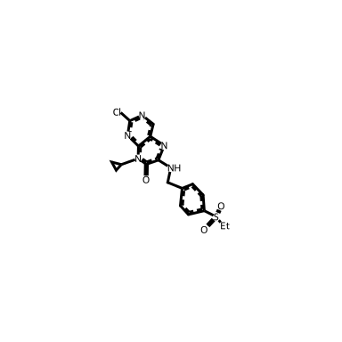 CCS(=O)(=O)c1ccc(CNc2nc3cnc(Cl)nc3n(C3CC3)c2=O)cc1